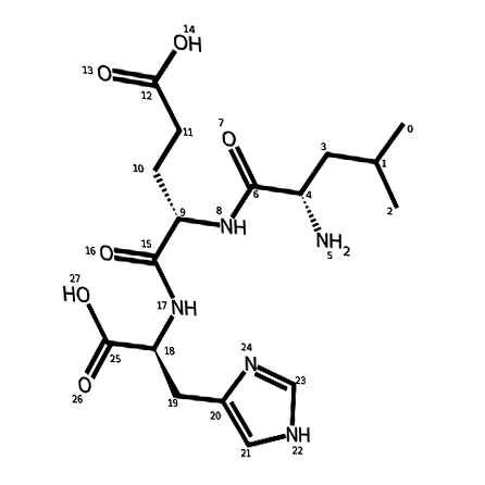 CC(C)C[C@H](N)C(=O)N[C@@H](CCC(=O)O)C(=O)N[C@@H](Cc1c[nH]cn1)C(=O)O